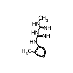 CNC(=N)NC(=N)Nc1ccccc1C